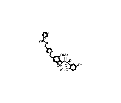 CCc1ccc(OC)c(S(=O)(=O)Nc2noc3cc(Cn4cc(CNC(=O)n5ccnc5)cn4)cc(OC)c23)c1